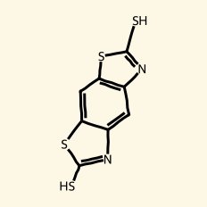 Sc1nc2cc3nc(S)sc3cc2s1